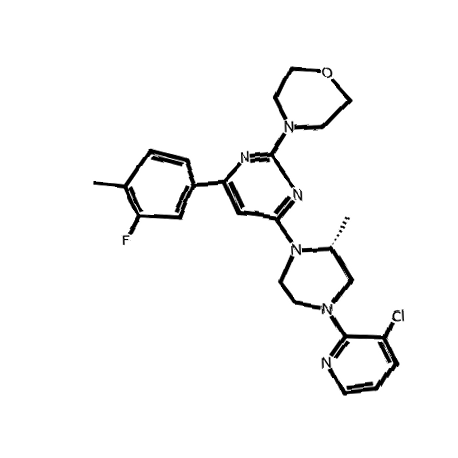 Cc1ccc(-c2cc(N3CCN(c4ncccc4Cl)C[C@H]3C)nc(N3CCOCC3)n2)cc1F